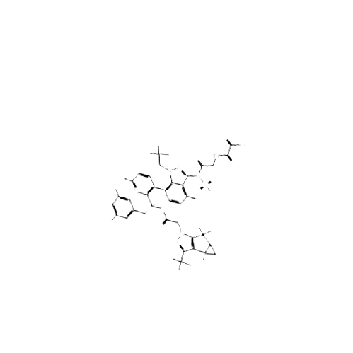 Cc1ccc(-c2ccc(Cl)c3c(N(C(=O)CNC(=O)C(=O)O)S(C)(=O)=O)nn(CC(F)(F)F)c23)c([C@H](Cc2cc(F)cc(F)c2)NC(=O)Cn2nc(C(F)(F)F)c3c2C(F)(F)C2C[C@H]32)n1